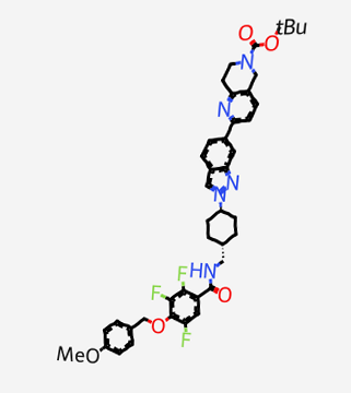 COc1ccc(COc2c(F)cc(C(=O)NC[C@H]3CC[C@H](n4cc5ccc(-c6ccc7c(n6)CCN(C(=O)OC(C)(C)C)C7)cc5n4)CC3)c(F)c2F)cc1